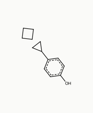 C1CCC1.Oc1ccc(C2CC2)cc1